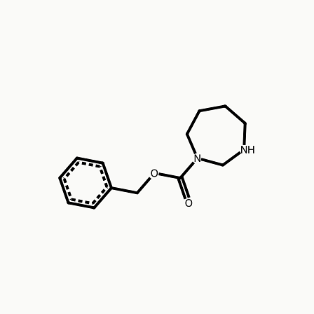 O=C(OCc1ccccc1)N1CCCCNC1